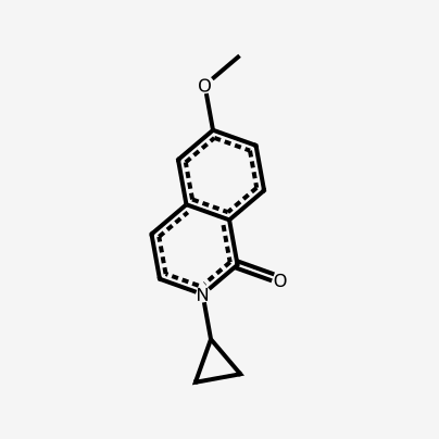 COc1ccc2c(=O)n(C3CC3)ccc2c1